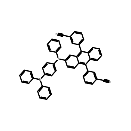 N#Cc1cccc(-c2c3ccccc3c(-c3cccc(C#N)c3)c3cc(N(c4ccccc4)c4ccc(N(c5ccccc5)c5ccccc5)cc4)ccc23)c1